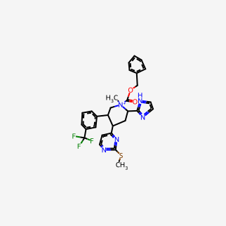 CSc1nccc(C2CC(c3ncc[nH]3)[N+](C)(C(=O)OCc3ccccc3)CC2c2cccc(C(F)(F)F)c2)n1